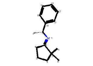 C[C@@H](/N=C1\CCCC1(C)C)c1ccccc1